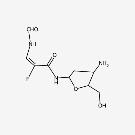 NC1CC(NC(=O)/C(F)=C\NC=O)OC1CO